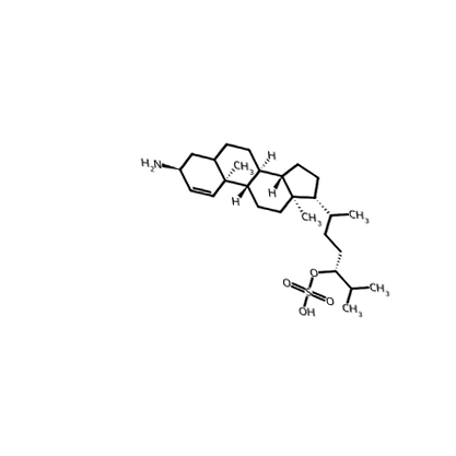 CC(CC[C@@H](OS(=O)(=O)O)C(C)C)[C@H]1CC[C@H]2[C@@H]3CCC4C[C@H](N)C=C[C@]4(C)[C@H]3CC[C@]12C